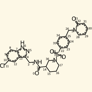 O=C(NCc1n[nH]c2ccc(Cl)cc12)C1CCCN(S(=O)(=O)c2ccc(Cn3ccccc3=O)cc2)C1